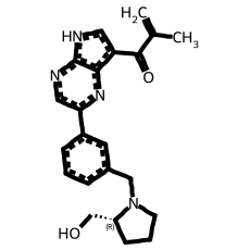 C=C(C)C(=O)c1c[nH]c2ncc(-c3cccc(CN4CCC[C@@H]4CO)c3)nc12